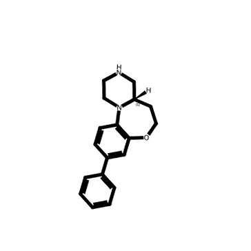 [c]1cccc(-c2ccc3c(c2)OCC[C@H]2CNCCN32)c1